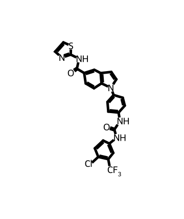 O=C(Nc1ccc(-n2ccc3cc(C(=O)Nc4nccs4)ccc32)cc1)Nc1ccc(Cl)c(C(F)(F)F)c1